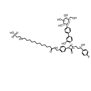 O=C(CCCCCCCCCCCNCCS(=O)(=O)O)NCc1ccc(N2C(=O)[C@H](CC[C@H](O)c3ccc(F)cc3)[C@H]2c2ccc(-c3ccc([C@@H]4O[C@H](CO)[C@@H](O)[C@H](O)[C@H]4O)cc3)cc2O)cc1